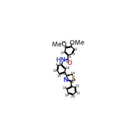 COc1ccc(C(=O)Nc2cccc(C3CSC(c4ccccc4)=N3)c2)cc1OC